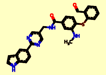 CNc1cc(C(=O)NCc2cnc(-c3ccc4[nH]ccc4c3)nc2)ccc1Sc1ccccc1C=O